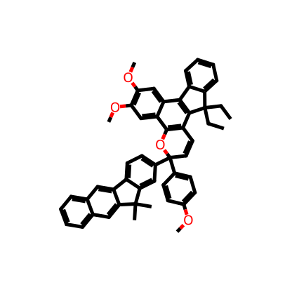 CCC1(CC)c2ccccc2-c2c1c1c(c3cc(OC)c(OC)cc23)OC(c2ccc(OC)cc2)(c2ccc3c(c2)C(C)(C)c2cc4ccccc4cc2-3)C=C1